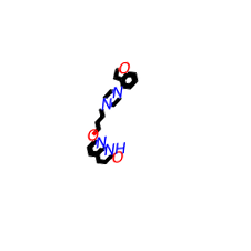 O=C1CCc2ccc(OCCCCN3CCN(c4cccc5c4CCO5)CC3)nc2N1